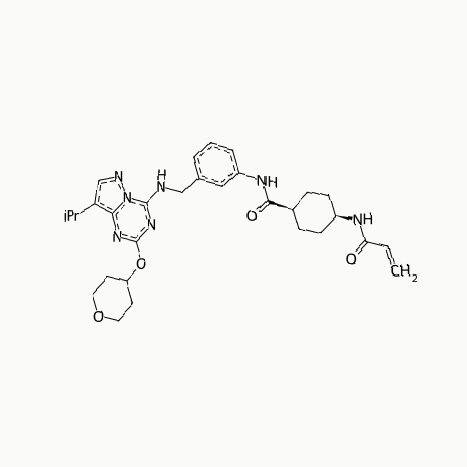 C=CC(=O)N[C@H]1CC[C@@H](C(=O)Nc2cccc(CNc3nc(OC4CCOCC4)nc4c(C(C)C)cnn34)c2)CC1